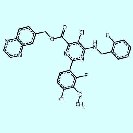 COc1c(Cl)ccc(-c2nc(NCc3ccccc3F)c(Cl)c(C(=O)OCc3ccc4nccnc4c3)n2)c1F